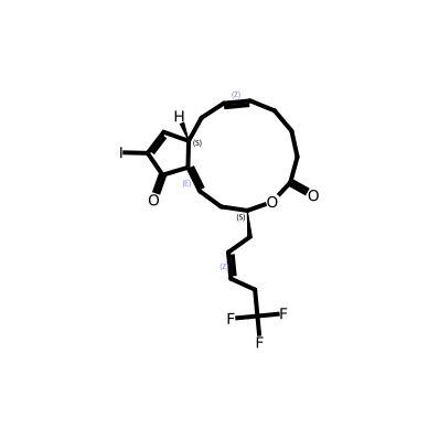 O=C1CCC/C=C\C[C@H]2C=C(I)C(=O)/C2=C/C[C@H](C/C=C\CC(F)(F)F)O1